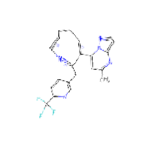 Cc1cc(C2=C/CC/C=C/N=C\2Cc2ccc(C(F)(F)F)nc2)n2nccc2n1